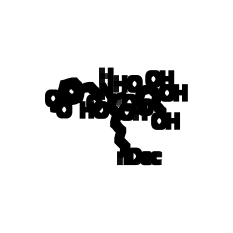 CCCCCCCCCCCCCCC(O)C(O)[C@H](COC1OC(CO)C(O)C(O)C1O)NC(=O)Cc1ccc2c(c1)OCO2